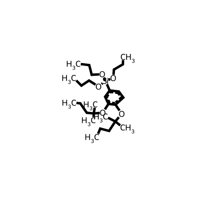 CCCO[Si](OCCC)(OCCC)c1ccc(OC(C)(C)CCC)c(OC(C)(C)CCC)c1